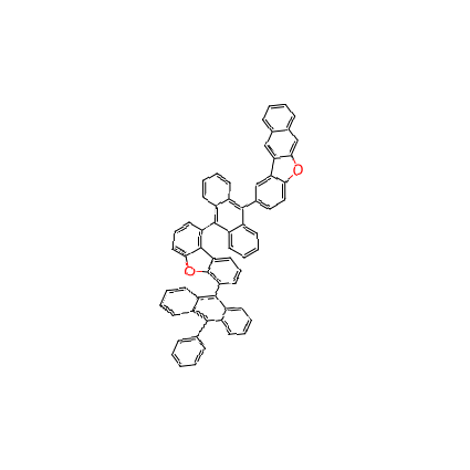 c1ccc(-c2c3ccccc3c(-c3cccc4c3oc3cccc(-c5c6ccccc6c(-c6ccc7oc8cc9ccccc9cc8c7c6)c6ccccc56)c34)c3ccccc23)cc1